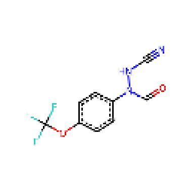 N#CNN(C=O)c1ccc(OC(F)(F)F)cc1